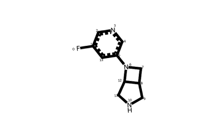 Fc1cncc(N2CC3CNCC32)c1